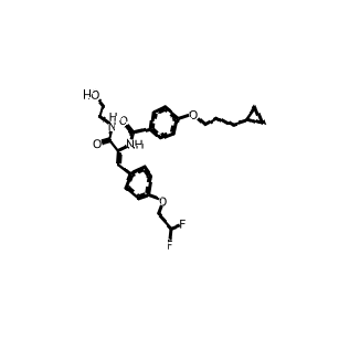 O=C(NCCO)C(=Cc1ccc(OCC(F)F)cc1)NC(=O)c1ccc(OCCCC2CC2)cc1